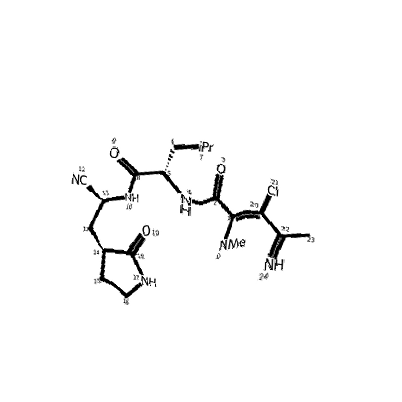 CN/C(C(=O)N[C@@H](CC(C)C)C(=O)N[C@H](C#N)C[C@@H]1CCNC1=O)=C(/Cl)C(C)=N